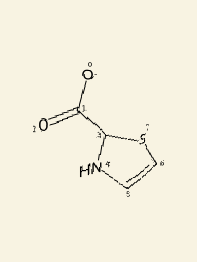 [O]C(=O)C1NC=CS1